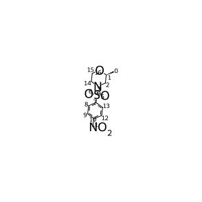 C[C@H]1CN(S(=O)(=O)c2ccc([N+](=O)[O-])cc2)CCO1